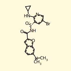 CN(C)c1ccc2cc(C(=O)N[S+]([O-])c3cc(Br)cnc3NC3CC3)oc2c1